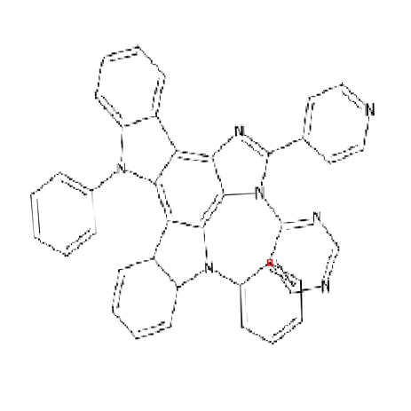 C1=CC2c3c(c4c(nc(-c5ccncc5)n4-c4ccncn4)c4c5ccccc5n(-c5ccccc5)c34)N(c3ccccc3)C2C=C1